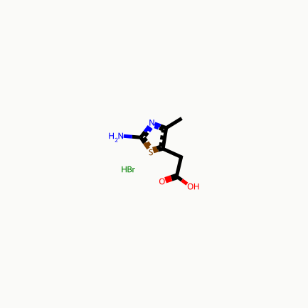 Br.Cc1nc(N)sc1CC(=O)O